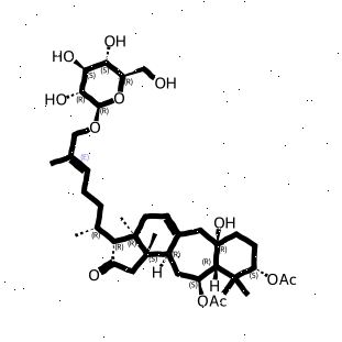 CC(=O)O[C@H]1C[C@@H]2C(=CC[C@]3(C)[C@@H]([C@H](C)CC/C=C(\C)CO[C@@H]4O[C@H](CO)[C@@H](O)[C@H](O)[C@H]4O)C(=O)C[C@@]23C)C[C@]2(O)CC[C@H](OC(C)=O)C(C)(C)[C@H]12